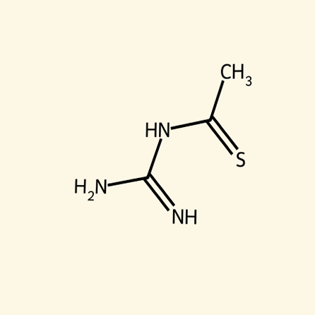 CC(=S)NC(=N)N